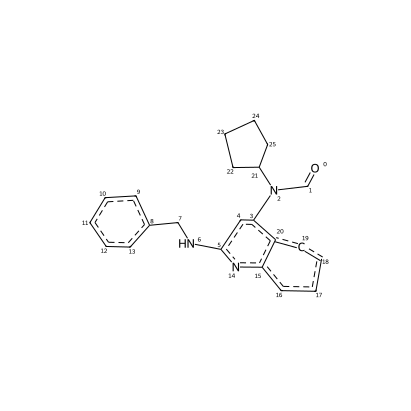 O=CN(c1cc(NCc2ccccc2)nc2ccccc12)C1CCCC1